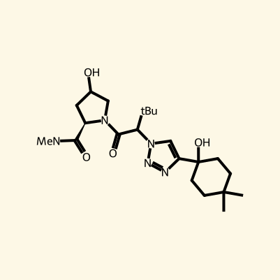 CNC(=O)[C@H]1CC(O)CN1C(=O)C(n1cc(C2(O)CCC(C)(C)CC2)nn1)C(C)(C)C